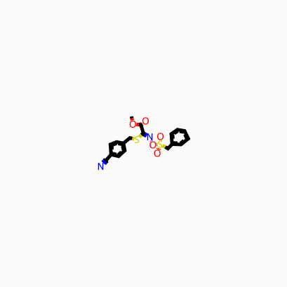 COC(=O)/C(=N/OS(=O)(=O)Cc1ccccc1)SCc1ccc(C#N)cc1